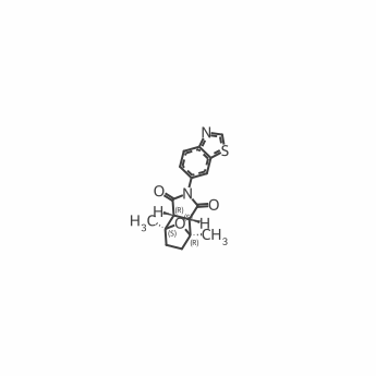 C[C@]12CC[C@](C)(O1)[C@@H]1C(=O)N(c3ccc4ncsc4c3)C(=O)[C@@H]12